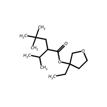 CCC1(OC(=O)C(CC(C)(C)C)C(C)C)CCOC1